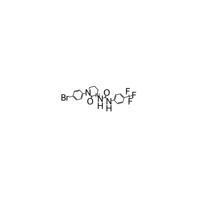 O=C(Nc1ccc(C(F)(F)F)cc1)N[C@H]1CCCN(c2ccc(Br)cc2)C1=O